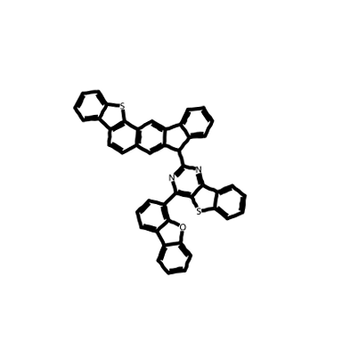 c1ccc2c(c1)-c1cc3c(ccc4c5ccccc5sc34)cc1C2c1nc(-c2cccc3c2oc2ccccc23)c2sc3ccccc3c2n1